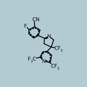 N#Cc1cc(C2=NCC(c3cc(C(F)(F)F)nc(C(F)(F)F)c3)(C(F)(F)F)C2)ccc1F